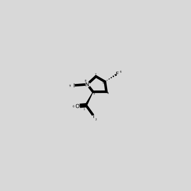 O=C(I)[C@@H]1C[C@@H](F)CN1I